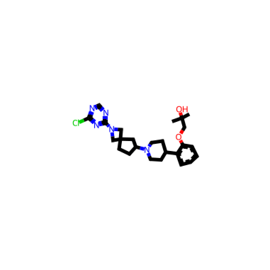 CC(C)(O)COc1ccccc1C1CCN(C2CCC3(C2)CN(c2ncnc(Cl)n2)C3)CC1